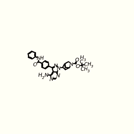 CC(C)(C)OC(=O)N1CC2CC1CC2n1nc(-c2ccc(C(=O)Nc3ccccc3)cc2)c2c(N)ncnc21